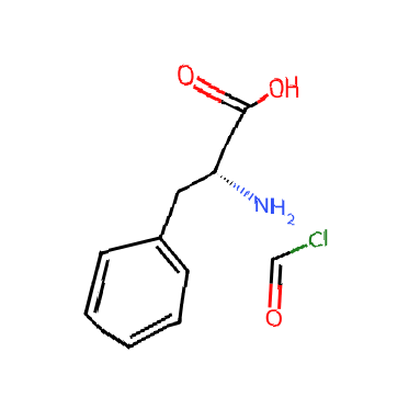 N[C@H](Cc1ccccc1)C(=O)O.O=CCl